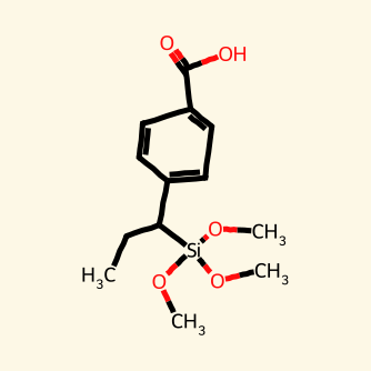 CCC(c1ccc(C(=O)O)cc1)[Si](OC)(OC)OC